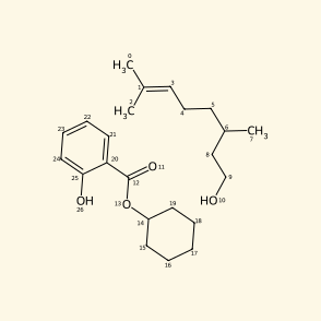 CC(C)=CCCC(C)CCO.O=C(OC1CCCCC1)c1ccccc1O